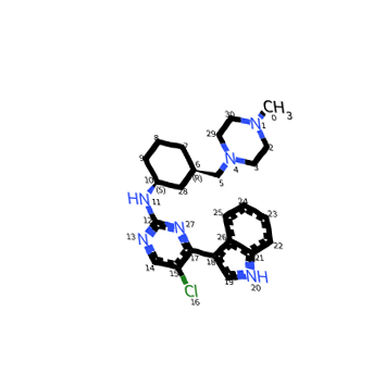 CN1CCN(C[C@@H]2CCC[C@H](Nc3ncc(Cl)c(-c4c[nH]c5ccccc45)n3)C2)CC1